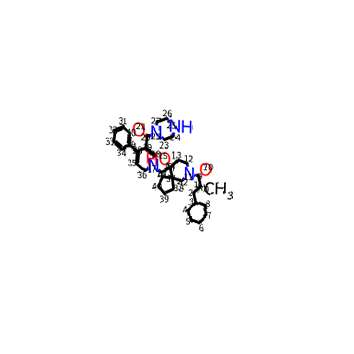 C[C@H](CC1CCCCC1)C(=O)N1CC[C@@](O)(CN2C=C(C(=O)N3CCNCC3)C(c3ccccc3)=CC2)C2(CCCC2)C1